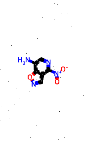 Nc1cnc([N+](=O)[O-])c2cnoc12